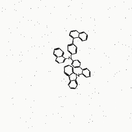 c1ccc(-n2c3ccccc3c3ccccc32)c(-c2ccc(N(c3ccc(-c4cccc5ccccc45)cc3)c3cccc4ccccc34)cc2)c1